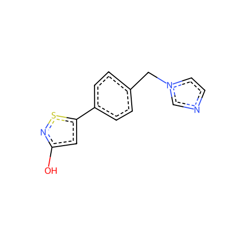 Oc1cc(-c2ccc(Cn3ccnc3)cc2)sn1